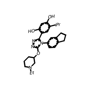 CCN1CCCC(Oc2nnc(-c3cc(C(C)C)c(O)cc3O)n2-c2ccc3c(c2)CCC3)C1